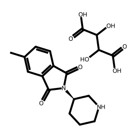 Cc1ccc2c(c1)C(=O)N([C@@H]1CCCNC1)C2=O.O=C(O)C(O)C(O)C(=O)O